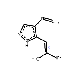 C=Nc1cn[nH]c1/C=C(\C)C(C)C